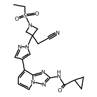 CCS(=O)(=O)N1CC(CC#N)(n2cc(-c3cccn4nc(NC(=O)C5CC5)nc34)cn2)C1